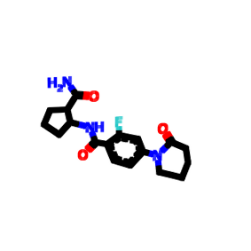 NC(=O)C1CCCC1NC(=O)c1ccc(N2CCCCC2=O)cc1F